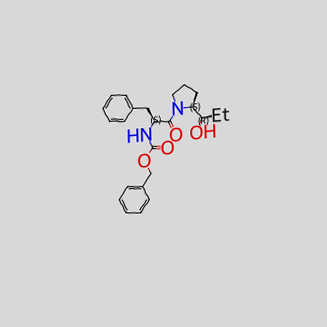 CC[C@@H](O)[C@@H]1CCCN1C(=O)[C@H](Cc1ccccc1)NC(=O)OCc1ccccc1